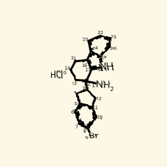 Cl.NC1(C2Cc3ccc(Br)cc3C2)CCCc2c1[nH]c1ccccc21